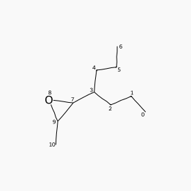 CCCC(CCC)C1OC1C